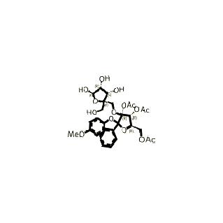 COc1ccc(OC2(c3ccccc3)O[C@H](COC(C)=O)[C@@H](OC(C)=O)[C@@]2(OC[C@@]2(CO)O[C@@H](O)[C@H](O)[C@@H]2O)OC(C)=O)cc1